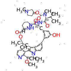 CCn1c(-c2cccnc2[C@H](C)OC)c2c3cc(ccc31)-c1cc(O)cc(c1)C[C@H](NC(=O)[C@H](C(C)C)N(C)C(=O)O[C@H]1CCN(C)C1)C(=O)N1CCC[C@H](N1)C(=O)OCC(C)(C)C2